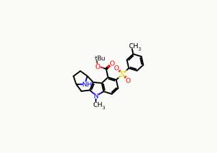 Cc1cccc(S(=O)(=O)c2ccc3c(c2C(=O)OC(C)(C)C)c2c(n3C)CC3CCC2N3)c1